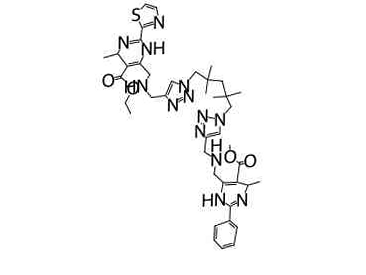 CCOC(=O)C1=C(CNCc2cn(CC(C)(C)CC(C)(C)Cn3cc(CNCC4=C(C(=O)OC)C(C)N=C(c5ccccc5)N4)nn3)nn2)NC(c2nccs2)=NC1C